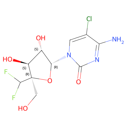 Nc1nc(=O)n([C@@H]2O[C@@](CO)(C(F)F)[C@@H](O)[C@@H]2O)cc1Cl